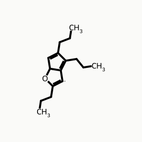 CCCC1=[C]C2=C(CCC)C(CCC)=CC2O1